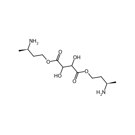 C[C@@H](N)CCOC(=O)C(O)C(O)C(=O)OCC[C@@H](C)N